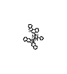 c1ccc(-c2nc(-c3cc4sc5ccccc5c4c4ccccc34)nc(-n3c4cc5ccccc5cc4c4cc5ccccc5cc43)n2)cc1